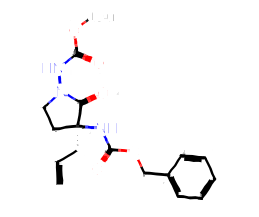 C=CC[C@]1(NC(=O)OCc2ccccc2)CCN(NC(=O)OC(C)(C)C)C1=O